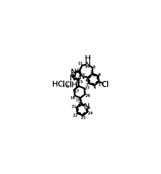 Cl.Cl.Clc1ccc2c(c1)CNCc1nnc(C3CCC(c4ccccn4)CC3)n1-2